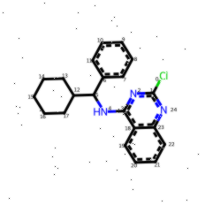 Clc1nc(NC(c2ccccc2)C2CCCCC2)c2ccccc2n1